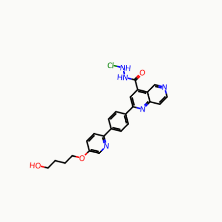 O=C(NNCl)c1cc(-c2ccc(-c3ccc(OCCCCO)cn3)cc2)nc2ccncc12